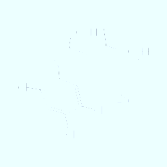 CC(=CC(Oc1cc(Cl)c(Cl)cc1Cl)C(=O)O)C(=O)O.[Zn]